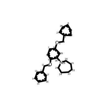 c1ccc(COc2ccc(OCc3ccccc3)c(N3CCCCCC3)c2)cc1